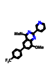 CNc1nc(-c2cccnc2)nc2c(OC)cc(-c3ccc(C(F)(F)F)cc3)cc12